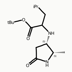 CC(C)CC(N[C@H]1CC(=O)N[C@H]1C)C(=O)OC(C)(C)C